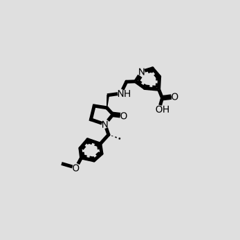 COc1ccc([C@@H](C)N2CC[C@@H](CNCc3cc(C(=O)O)ccn3)C2=O)cc1